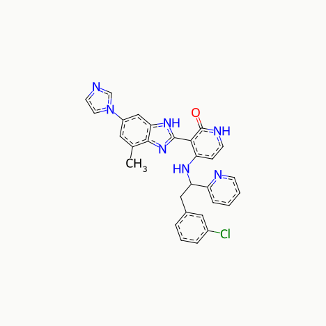 Cc1cc(-n2ccnc2)cc2[nH]c(-c3c(NC(Cc4cccc(Cl)c4)c4ccccn4)cc[nH]c3=O)nc12